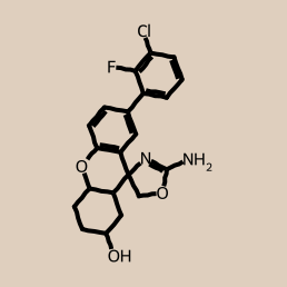 NC1=NC2(CO1)c1cc(-c3cccc(Cl)c3F)ccc1OC1CCC(O)CC12